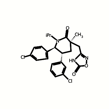 CC(C)N1C(=O)[C@@](C)(Cc2noc(=O)[nH]2)C[C@H](c2cccc(Cl)c2)[C@H]1c1ccc(Cl)cc1